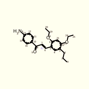 CCCc1cc(/C=C/C(=O)c2ccc(N)cc2)c(OCC)cc1OCC